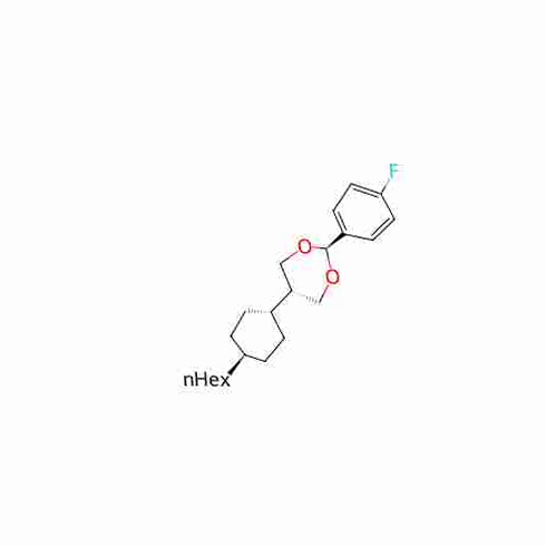 CCCCCC[C@H]1CC[C@H]([C@H]2CO[C@H](c3ccc(F)cc3)OC2)CC1